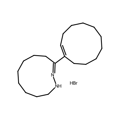 Br.C1=C(/C2=N\NCCCCCCCC2)CCCCCCCCC/1